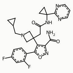 NC(=O)c1noc(-c2ccc(F)cc2F)c1C1(CC(=O)NC2(c3ncccn3)CC2)CN(CC2CC2)C1